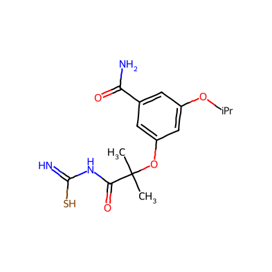 CC(C)Oc1cc(OC(C)(C)C(=O)NC(=N)S)cc(C(N)=O)c1